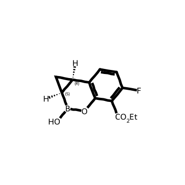 CCOC(=O)c1c(F)ccc2c1OB(O)[C@H]1C[C@@H]21